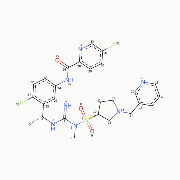 C[C@@H](NC(=N)N(C)S(=O)(=O)[C@H]1CCN(Cc2cccnc2)C1)c1cc(NC(=O)c2ccc(F)cn2)ccc1F